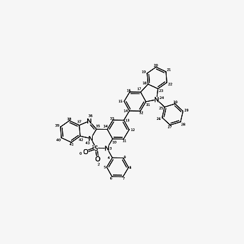 O=S1(=O)N(c2ccccc2)c2ccc(-c3ccc4c5ccccc5n(-c5ccccc5)c4c3)cc2-c2nc3ccccc3n21